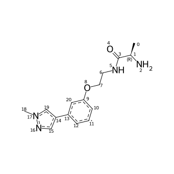 C[C@@H](N)C(=O)NCCOc1c[c]cc(-c2cnn(C)c2)c1